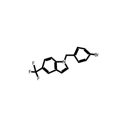 FC(F)(F)c1ccc2c(ccn2Cc2ccc(Br)cc2)c1